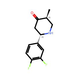 C[C@H]1CN[C@H](c2ccc(F)c(F)c2)CC1=O